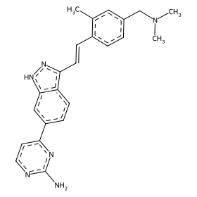 Cc1cc(CN(C)C)ccc1C=Cc1n[nH]c2cc(-c3ccnc(N)n3)ccc12